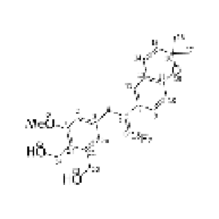 COc1cc(C/C(=C/[18F])c2ccc3c(c2)C=CC(C)(C)O3)cc(CO)c1CO